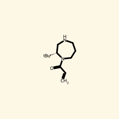 C=CC(=O)N1CCCNC[C@H]1C(C)(C)C